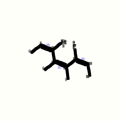 C\C=C(CC)/C(C)=C(C)\C(F)=C/C